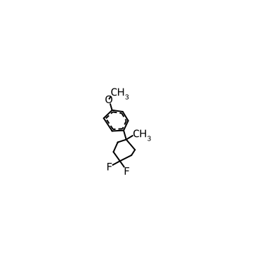 COc1ccc(C2(C)CCC(F)(F)CC2)cc1